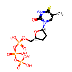 Cc1cn([C@H]2CC[C@@H](COP(=O)(O)OP(=O)(O)OP(=O)(O)O)O2)c(=O)[nH]c1=S